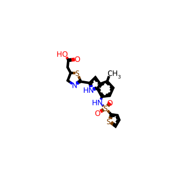 Cc1ccc(NS(=O)(=O)c2cccs2)c2[nH]c(C3=NCC(CC(=O)O)S3)cc12